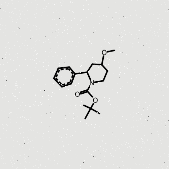 COC1CCN(C(=O)OC(C)(C)C)C(c2ccccc2)C1